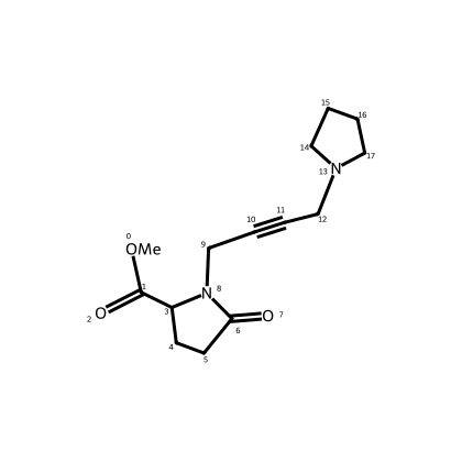 COC(=O)C1CCC(=O)N1CC#CCN1CCCC1